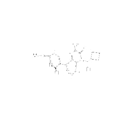 CC[C@@H](C1CCC1)n1c(=O)c(C)nc2c(-c3ccc(OC)nc3C)nccc21